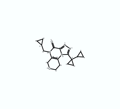 O=c1c2nnc(C3(C4CC4)CC3)n2c2c(n1CC1CC1)COCC2